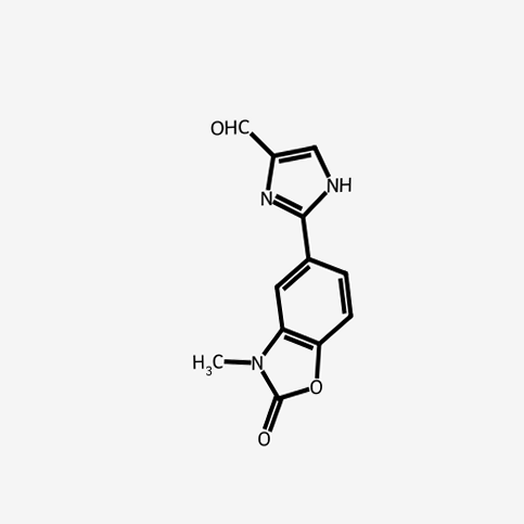 Cn1c(=O)oc2ccc(-c3nc(C=O)c[nH]3)cc21